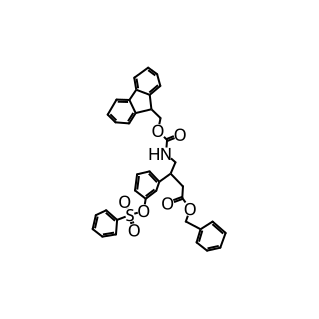 O=C(CC(CNC(=O)OCC1c2ccccc2-c2ccccc21)c1cccc(OS(=O)(=O)c2ccccc2)c1)OCc1ccccc1